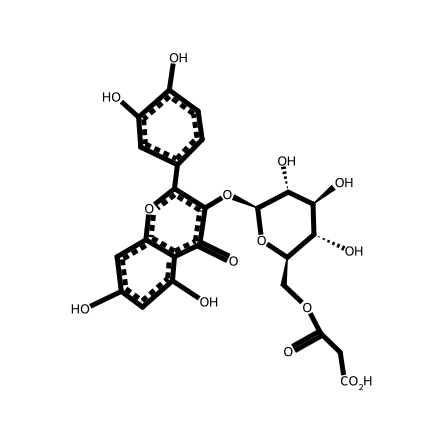 O=C(O)CC(=O)OC[C@H]1O[C@@H](Oc2c(-c3ccc(O)c(O)c3)oc3cc(O)cc(O)c3c2=O)[C@H](O)[C@@H](O)[C@@H]1O